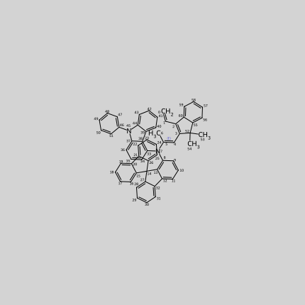 C=CC1=C(/C=C(\C)N(c2cccc3c2C2(c4ccccc4-c4ccccc42)c2ccccc2-3)c2cccc3c2c2ccccc2n3-c2ccccc2)C(C)(C)c2ccccc21